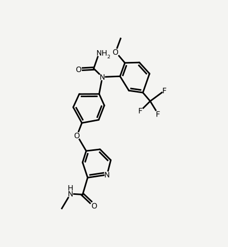 CNC(=O)c1cc(Oc2ccc(N(C(N)=O)c3cc(C(F)(F)F)ccc3OC)cc2)ccn1